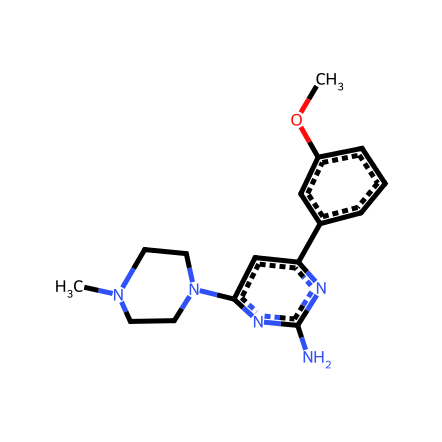 COc1cccc(-c2cc(N3CCN(C)CC3)nc(N)n2)c1